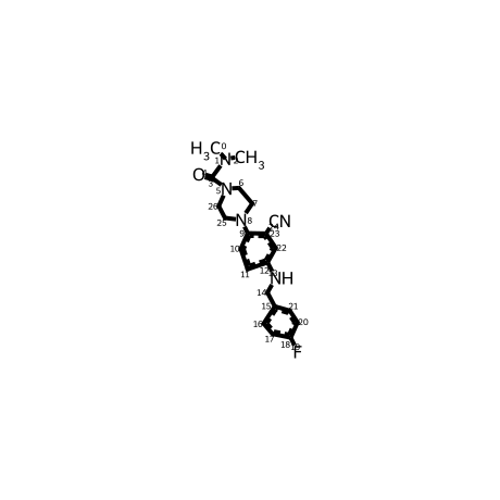 CN(C)C(=O)N1CCN(c2ccc(NCc3ccc(F)cc3)cc2C#N)CC1